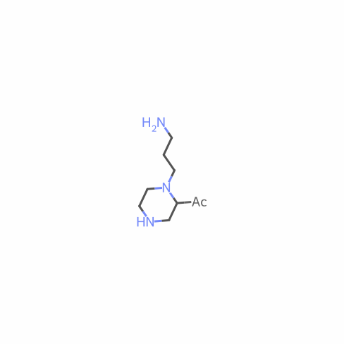 CC(=O)C1CNCCN1CCCN